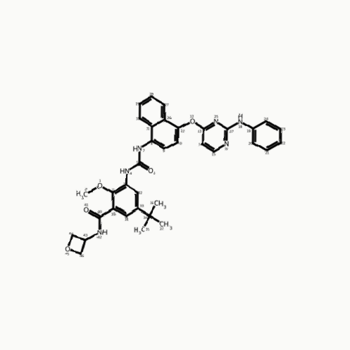 COc1c(NC(=O)Nc2ccc(Oc3ccnc(Nc4ccccc4)n3)c3ccccc23)cc(C(C)(C)C)cc1C(=O)NC1COC1